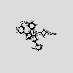 COc1cc(-c2sc3nc(-c4nccn4C)nc(NC4CC(OC)C4)c3c2-c2ccccc2)ccn1